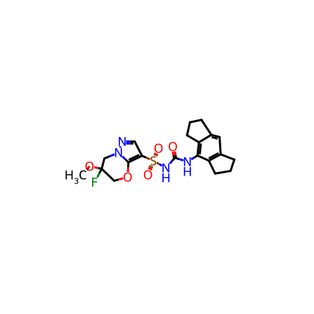 COC1(F)COc2c(S(=O)(=O)NC(=O)Nc3c4c(cc5c3CCC5)CCC4)cnn2C1